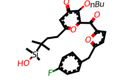 CCCCOc1c(C(=O)c2ccc(Cc3ccc(F)cc3)o2)oc(CCC(C)(C)[Si](C)(C)O)cc1=O